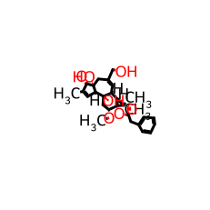 CO[C@@H]1C[C@@]2(O)[C@@H](C=C(CO)C[C@]3(O)C(=O)C(C)=C[C@@H]23)[C@@H]2C(C)(C)[C@@]21OC(=O)Cc1ccccc1